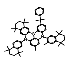 Cc1cc2c3c(c1)N(c1cc4c(cc1C)C(C)(C)CCC4(C)C)c1ccc(C(C)(C)c4ccccc4)cc1B3c1cc3c(cc1N2c1ccc2c(c1)C(C)(C)CCC2(C)C)C(C)(C)CCC3(C)C